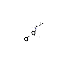 CCc1nnc(NC(=O)/C(C#N)=C/c2ccc(OCc3cccc([N+](=O)[O-])c3)c(OC)c2)s1